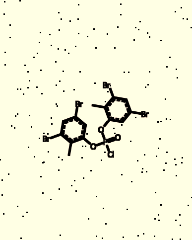 Cc1c(Br)cc(Br)cc1OP(=O)(Cl)Oc1cc(Br)cc(Br)c1C